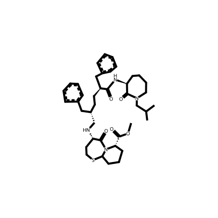 COC(=O)[C@@H]1CCCC2SCC[C@H](NC[C@@H](CC[C@@H](Cc3ccccc3)C(=O)N[C@H]3CCCCN(CC(C)C)C3=O)Cc3ccccc3)C(=O)N21